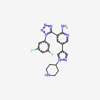 Nc1ncc(-c2cnn(C3CCNCC3)c2)cc1-c1nnnn1-c1cc(F)cc(F)c1